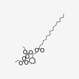 CCCCCCCCCCCCCCCC(=O)OCCc1cccc(OC(=O)OCC)c1OC(=O)OCC